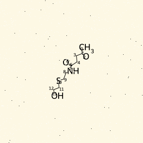 CC(=O)CCC(=O)NCCSCCO